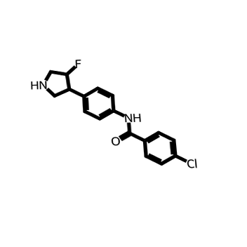 O=C(Nc1ccc(C2CNCC2F)cc1)c1ccc(Cl)cc1